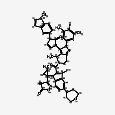 Cc1cc(-n2nc3c(c2-n2ccn(-c4ccc5c(cnn5C)c4)c2=O)[C@H](C)N(C(=O)c2c(F)c4cc(C5CCOCC5)ccc4n2[C@@]2(c4noc(=O)[nH]4)C[C@@H]2C)CC3)cc(C)c1F